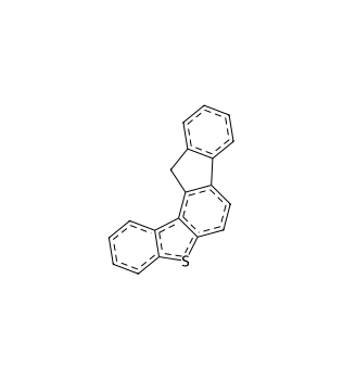 c1ccc2c(c1)Cc1c-2ccc2sc3ccccc3c12